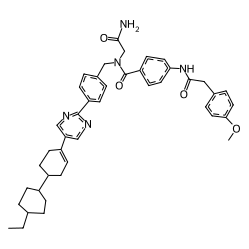 CCC1CCC(C2CC=C(c3cnc(-c4ccc(CN(CC(N)=O)C(=O)c5ccc(NC(=O)Cc6ccc(OC)cc6)cc5)cc4)nc3)CC2)CC1